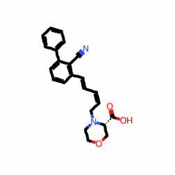 N#Cc1c(/C=C/C=C\CN2CCOC[C@H]2C(=O)O)cccc1-c1ccccc1